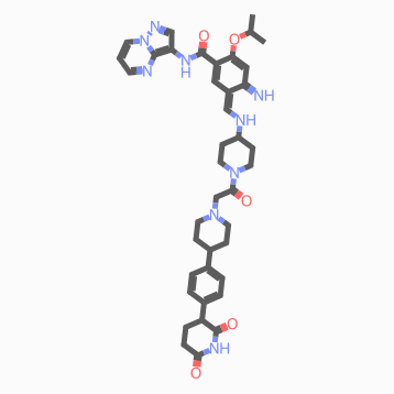 CC(C)OC1=CC(=N)/C(=C\NC2CCN(C(=O)CN3CCC(c4ccc(C5CCC(=O)NC5=O)cc4)CC3)CC2)C=C1C(=O)Nc1cnn2cccnc12